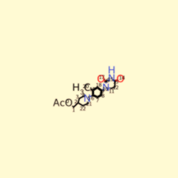 CC(=O)OCC1CCN(c2ccc(N3CCC(=O)NC3=O)cc2C)CC1